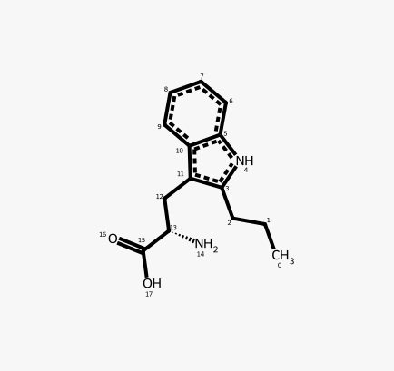 CCCc1[nH]c2ccccc2c1C[C@H](N)C(=O)O